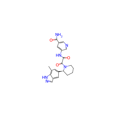 Cc1cc([C@@H]2CCCCN2C(=O)C(=O)Nc2cncc(C(N)=O)c2)cc2cn[nH]c12